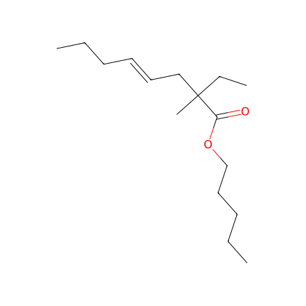 CCCC=CCC(C)(CC)C(=O)OCCCCC